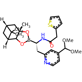 COC(OC)c1ccnc(C[C@@H](NC(=O)Cc2cccs2)B2OC3[C@@H]4C[C@H](C[C@]3(C)O2)C4(C)C)c1